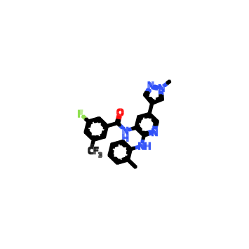 Cc1ccccc1Nc1ncc(-c2cnn(C)c2)cc1NC(=O)c1cc(F)cc(C(F)(F)F)c1